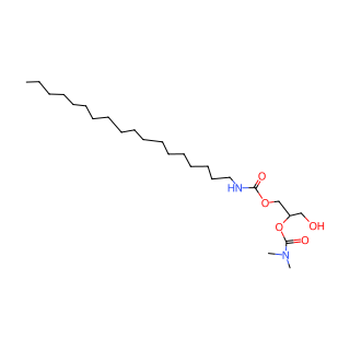 CCCCCCCCCCCCCCCCCCNC(=O)OCC(CO)OC(=O)N(C)C